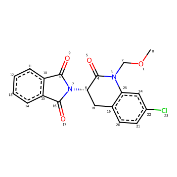 COCN1C(=O)[C@@H](N2C(=O)c3ccccc3C2=O)Cc2ccc(Cl)cc21